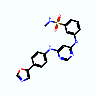 CNS(=O)(=O)c1cccc(Nc2cc(Nc3ccc(-c4cnco4)cc3)ncn2)c1